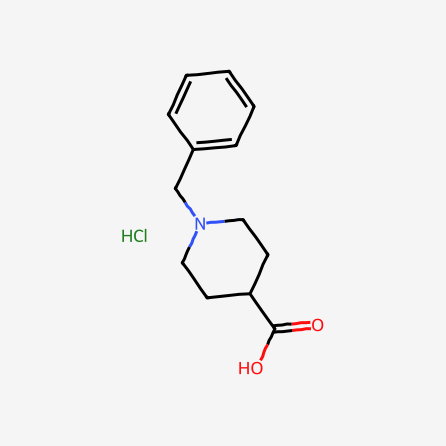 Cl.O=C(O)C1CCN(Cc2ccccc2)CC1